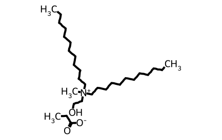 CCC(=O)[O-].CCCCCCCCCCCC[N+](C)(CCO)CCCCCCCCCCCC